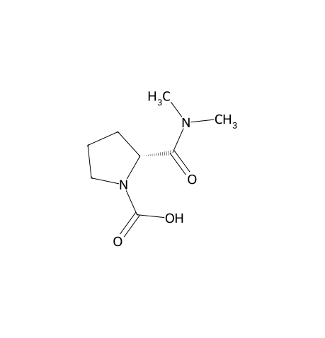 CN(C)C(=O)[C@H]1CCCN1C(=O)O